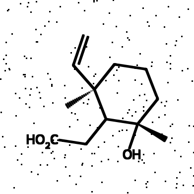 C=C[C@@]1(C)CCC[C@](C)(O)C1CC(=O)O